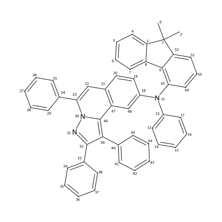 CC1(C)c2ccccc2-c2c(N(c3ccccc3)c3ccc4cc(-c5ccccc5)n5nc(-c6ccccc6)c(-c6ccccc6)c5c4c3)cccc21